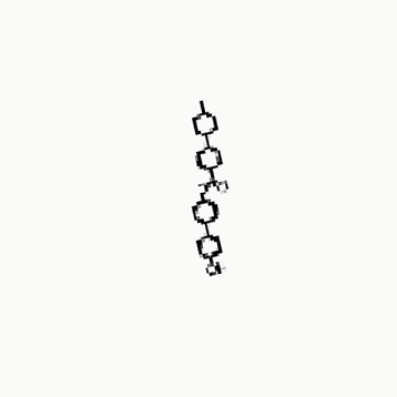 CC1CCC(C2CCC(C(=O)OC3CCC(c4ccc(O)cc4)CC3)CC2)CC1